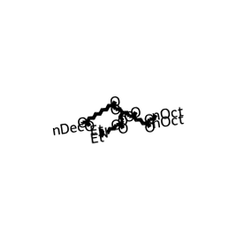 CCCCCCCCCCOC(=O)CCCCCCCC(=O)OCC(COC(=O)CCCC(=O)OC(CCCCCCCC)CCCCCCCC)COC(=O)OCCCN(CC)CC